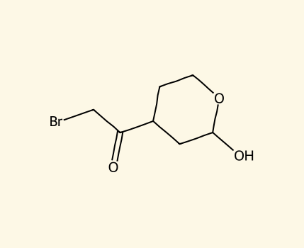 O=C(CBr)C1CCOC(O)C1